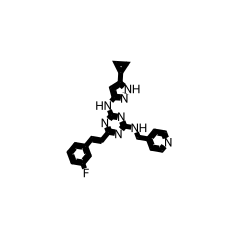 Fc1cccc(/C=C/c2nc(NCc3ccncc3)nc(Nc3cc(C4CC4)[nH]n3)n2)c1